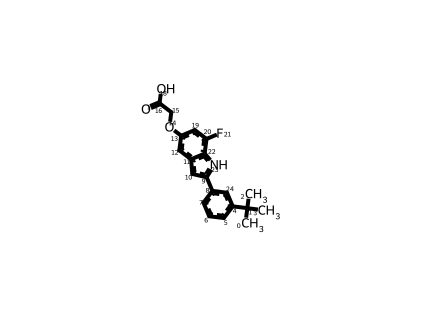 CC(C)(C)c1cccc(-c2cc3cc(OCC(=O)O)cc(F)c3[nH]2)c1